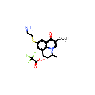 CC1CCc2cc(SCCN)cc3c(=O)c(C(=O)O)cn1c23.O=C(O)C(F)(F)F